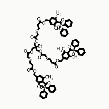 CCC(COC(=O)CSCCC(=O)OCc1cc(C)c(C(=O)P(=O)(c2ccccc2)c2ccccc2)c(C)c1)(COC(=O)CSCCC(=O)OCc1cc(C)c(C(=O)P(=O)(c2ccccc2)c2ccccc2)c(C)c1)COC(=O)CSCCC(=O)OCc1cc(C)c(C(=O)P(=O)(c2ccccc2)c2ccccc2)c(C)c1